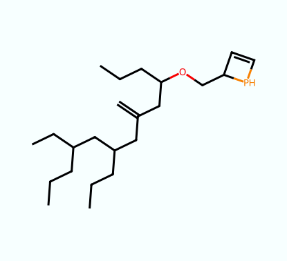 C=C(CC(CCC)CC(CC)CCC)CC(CCC)OCC1C=CP1